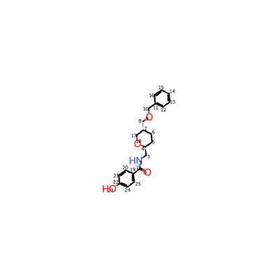 O=C(NC[C@@H]1CC[C@@H](COCc2ccccc2)CO1)c1ccc(O)cc1